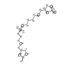 C=C1OCC(COCCC[Si](C)(C)OCCCCOCC2COC(=O)O2)O1